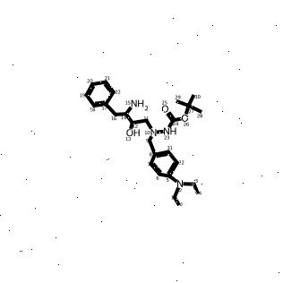 CCN(CC)c1ccc(CN(CC(O)C(N)Cc2ccccc2)NC(=O)OC(C)(C)C)cc1